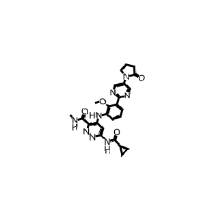 CNC(=O)c1nnc(NC(=O)C2CC2)cc1Nc1cccc(-c2ncc(N3CCCC3=O)cn2)c1OC